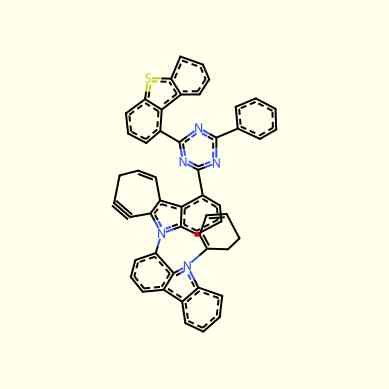 C1#Cc2c(c3c(-c4nc(-c5ccccc5)nc(-c5cccc6sc7ccccc7c56)n4)cccc3n2-c2cccc3c4ccccc4n(C4=CC=CCC4)c23)C=CC1